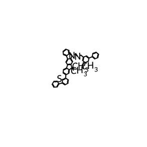 CC1C=C(/C=N/Cn2c3ccccc3c3cc4c(cc32)C(C)(C)c2cc(-c3cccc5c3sc3ccccc35)ccc2-4)C=C(c2ccccc2)C1